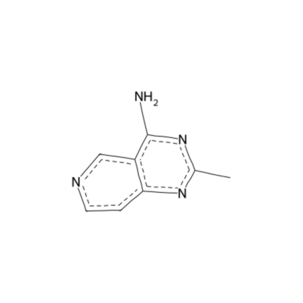 Cc1nc(N)c2cnccc2n1